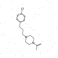 C=C(C)N1CCN(CCCc2ccc(Cl)cc2)CC1